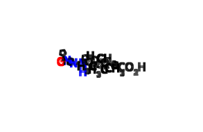 CC1(C)C(c2ccc(C(=O)O)cc2)=CC[C@@]2(C)C1CC[C@@]1(C)C3CC[C@@]4(NCCN5CCN(C(=O)C6CCCC6)CC5)CCCC4[C@H]3CCC12